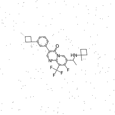 CC(NC1(C)CCC1)c1cn2c(=O)c(-c3cccc([C@]4(C)C[C@@H](C)C4)c3)cnc2c(C(F)(F)F)c1F